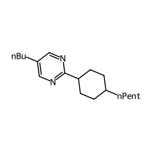 CCCCCC1CCC(c2ncc(CCCC)cn2)CC1